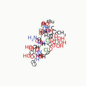 Cc1cc(C)c(OCC2OC(Oc3c4cc5cc3Oc3ccc(cc3Cl)[C@@H](O)[C@@H](NC(=O)[C@@H](CC(C)C)NC(=O)OC(C)(C)C)C(=O)C[C@@H](CC(N)=O)C(=O)N[C@H]5C(=O)C[C@H]3C(=O)N[C@H](C(=O)N[C@H](C(=O)CC5C6CC7CC(C6)CC5C7)c5cc(O)cc(O)c5-c5cc3ccc5O)[C@H](O)c3ccc(c(Cl)c3)O4)C(O)C(O)C2O)c(C)c1